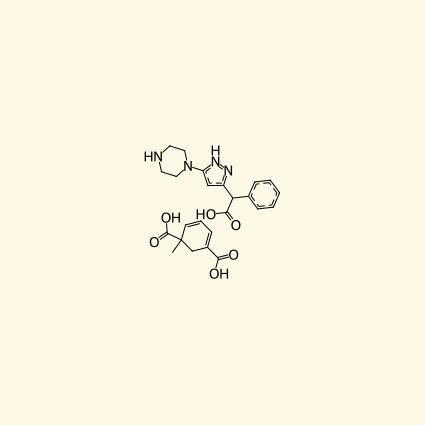 CC1(C(=O)O)C=CC=C(C(=O)O)C1.O=C(O)C(c1ccccc1)c1cc(N2CCNCC2)[nH]n1